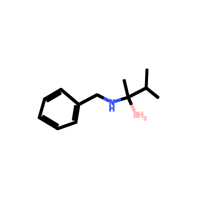 BC(C)(NCc1ccccc1)C(C)C